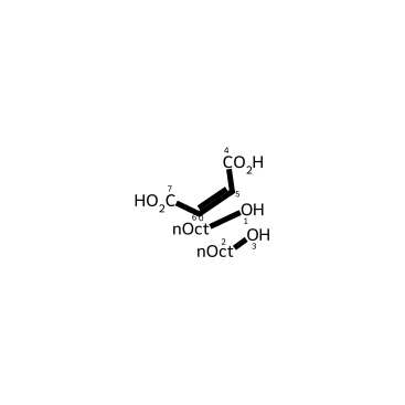 CCCCCCCCO.CCCCCCCCO.O=C(O)/C=C\C(=O)O